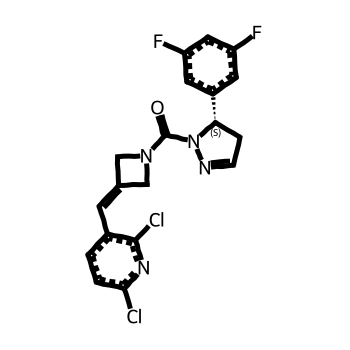 O=C(N1CC(=Cc2ccc(Cl)nc2Cl)C1)N1N=CC[C@H]1c1cc(F)cc(F)c1